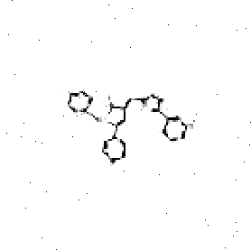 O=C(O)c1ccc(CN2C(=O)/C(=C/c3ccc(-c4cccc([N+](=O)[O-])c4)o3)C=C2c2ccccc2)cc1